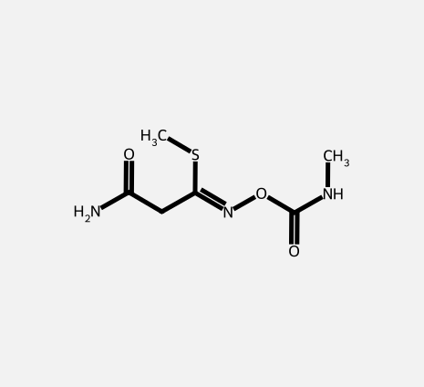 CNC(=O)ON=C(CC(N)=O)SC